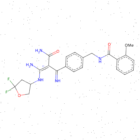 COc1ccccc1C(=O)NCc1ccc(C(=N)/C(C(N)=O)=C(/N)NC2COC(F)(F)C2)cc1